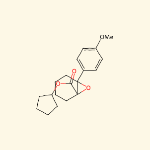 COc1ccc(C23CCCCC2(C(=O)OC2CCCC2)O3)cc1